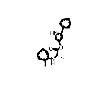 Cc1ccccc1N[C@@H](C)C(=O)Oc1c[nH]c(-c2ccccc2)c1